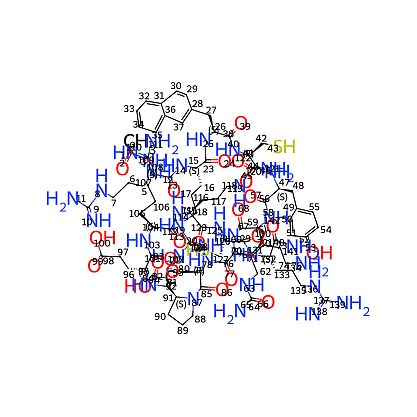 CC(=O)N[C@@H](CCCNC(=N)N)C(=O)N[C@@H](CCCNC(=N)N)C(=O)N[C@@H](Cc1ccc2ccccc2c1)C(=O)N[C@@H](CS)C(=O)N[C@@H](Cc1ccc(O)cc1)C(=O)N[C@@H](CCCNC(N)=O)C(=O)N[C@@H](CCCCN)C(=O)N[C@H](CCC(=O)O)C(=O)N1CCC[C@H]1C(=O)N[C@H](CCC(=O)O)C(=O)N[C@@H](CCCNC(=N)N)C(=O)N[C@@H](CCCNC(N)=O)C(=O)N[C@@H](CS)C(=O)N[C@@H](CCCNC(=N)N)C(N)=O